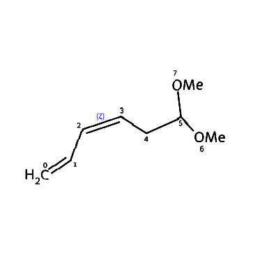 C=C/C=C\CC(OC)OC